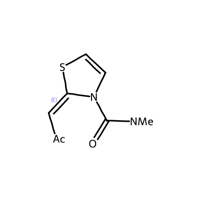 CNC(=O)N1C=CS/C1=C/C(C)=O